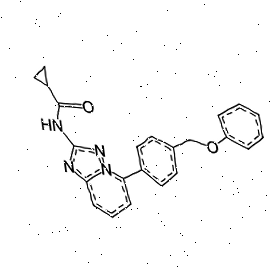 O=C(Nc1nc2cccc(-c3ccc(COc4ccccc4)cc3)n2n1)C1CC1